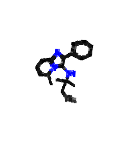 Cc1cccc2nc(-c3ccccc3)c(NC(C)(C)CC(C)(C)C)n12